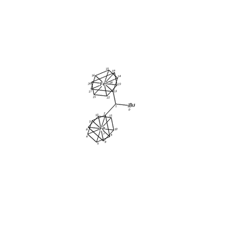 CCC(C)C([C]12[CH]3[CH]4[CH]5[CH]1[Fe]45321678[CH]2[CH]1[CH]6[CH]7[CH]28)[C]12[CH]3[CH]4[CH]5[CH]1[Fe]45321678[CH]2[CH]1[CH]6[CH]7[CH]28